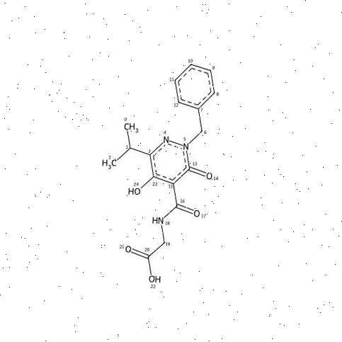 CC(C)c1nn(Cc2ccccc2)c(=O)c(C(=O)NCC(=O)O)c1O